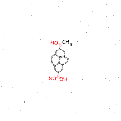 CB(O)c1cc2ccc3cc(B(O)O)cc4ccc(c1)c2c34